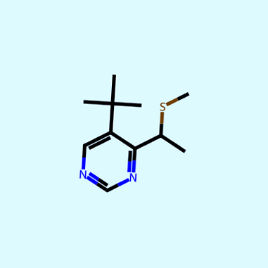 CSC(C)c1ncncc1C(C)(C)C